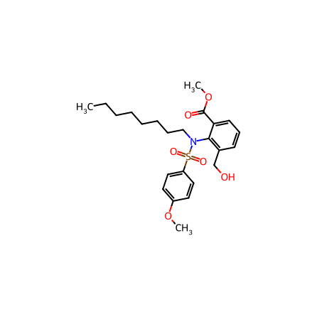 CCCCCCCCN(c1c(CO)cccc1C(=O)OC)S(=O)(=O)c1ccc(OC)cc1